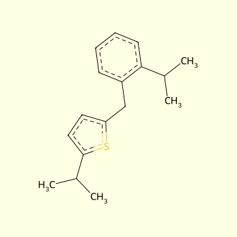 CC(C)c1ccc(Cc2ccccc2C(C)C)s1